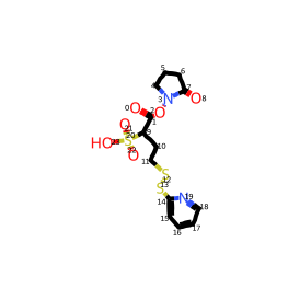 O=C(ON1CCCC1=O)C(CCSSc1ccccn1)S(=O)(=O)O